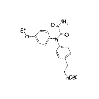 CCCCCCCCCCCCc1ccc(N(C(=O)C(N)=O)c2ccc(OCC)cc2)cc1